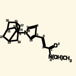 CN(O)C(=O)C=Cc1ccn(C23CC4CC(CC(C4)C2)C3)c1